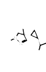 CC(C)[C@@H]1C[C@H]1C1(C)C=NN(C)C1